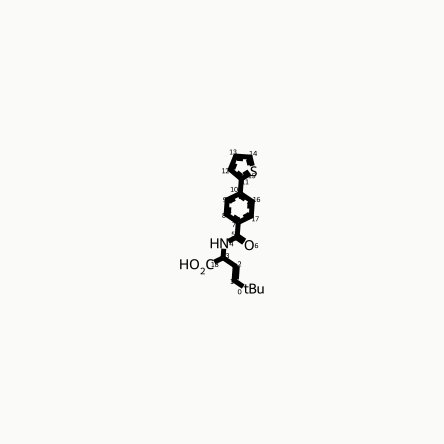 CC(C)(C)C=CC(NC(=O)c1ccc(-c2cccs2)cc1)C(=O)O